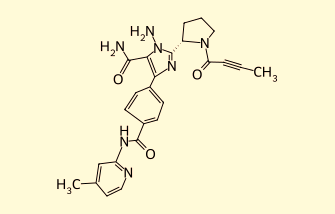 CC#CC(=O)N1CCC[C@H]1c1nc(-c2ccc(C(=O)Nc3cc(C)ccn3)cc2)c(C(N)=O)n1N